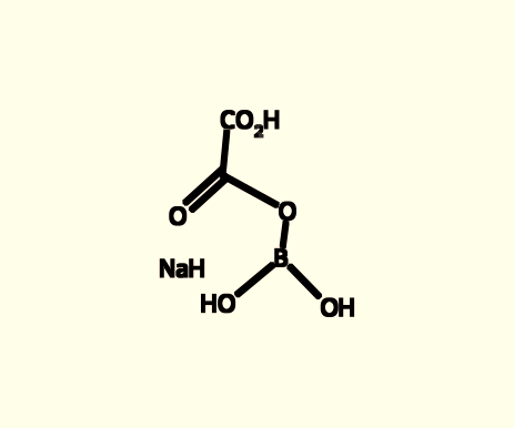 O=C(O)C(=O)OB(O)O.[NaH]